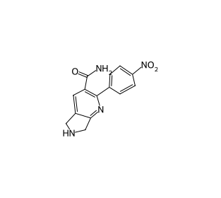 NC(=O)c1cc2c(nc1-c1ccc([N+](=O)[O-])cc1)CNC2